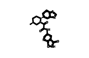 C[C@H]1CC[C@H](c2ccc3scnc3c2)N(C(=O)C(=O)Nc2cnc3o[nH]c(=O)c3c2)C1